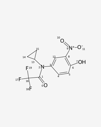 O=C(N(c1ccc(O)c([N+](=O)[O-])c1)C1CC1)C(F)(F)F